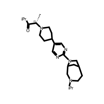 CC(C)C(=O)[C@H](C)N1CCC(c2cnc(N3CC4CCN(C(C)C)CC3C4)nc2)CC1